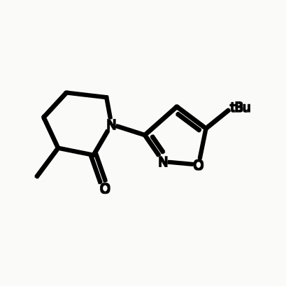 CC1CCCN(c2cc(C(C)(C)C)on2)C1=O